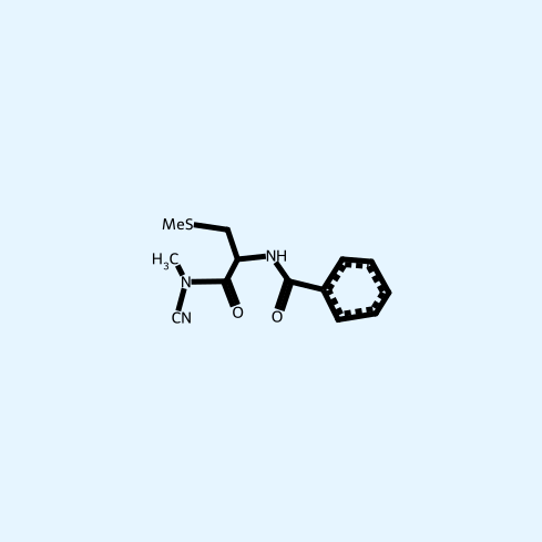 CSCC(NC(=O)c1ccccc1)C(=O)N(C)C#N